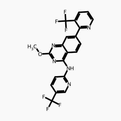 COc1nc(Nc2ccc(C(F)(F)F)cn2)c2ccc(-c3ncccc3C(F)(F)F)cc2n1